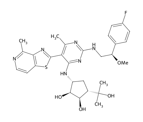 CO[C@@H](CNc1nc(C)c(-c2nc3c(C)nccc3s2)c(N[C@@H]2C[C@H](C(C)(C)O)[C@@H](O)[C@H]2O)n1)c1ccc(F)cc1